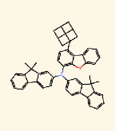 CC1(C)c2ccccc2-c2ccc(N(c3ccc4c(c3)C(C)(C)c3ccccc3-4)c3ccc(C45CC6CC7CC(C4)C765)c4c3oc3ccccc34)cc21